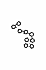 c1ccc([Si](c2ccccc2)(c2ccccc2)c2cccc(-c3cccc(-c4ccc5c(c4)oc4ccc(-n6c7ccccc7c7ccccc76)cc45)c3)c2)cc1